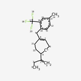 C=C(CC)C1CCC=C(Cc2ccc(C)cc2C(F)(F)F)CC1